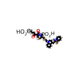 C[n+]1c(C=C2C=CN(CCSCC3=C(C(=O)O)N4C(=O)C(C(=O)CCCC(=O)O)C4SC3)c3ccccc32)sc2ccccc21